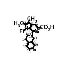 CCn1c(C)c(C)c2cc(C(=O)O)nc(N3CCc4ccccc4C3)c21